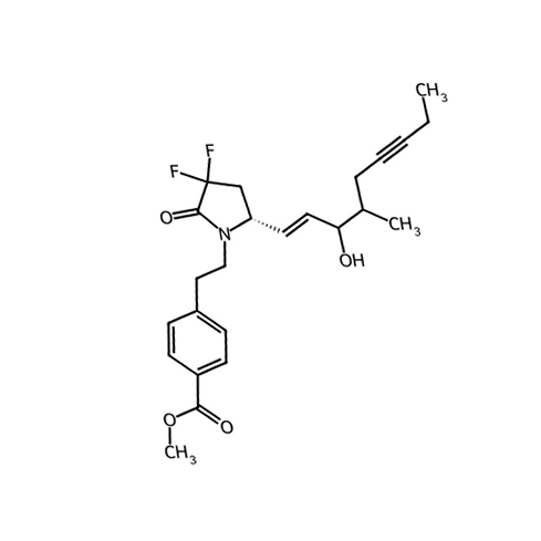 CCC#CCC(C)C(O)/C=C/[C@H]1CC(F)(F)C(=O)N1CCc1ccc(C(=O)OC)cc1